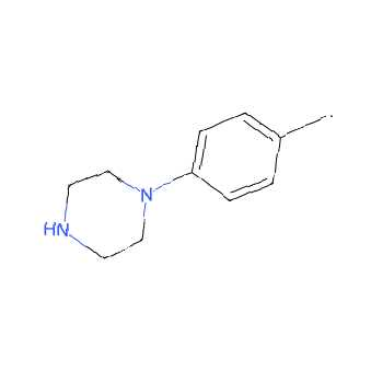 [CH2]c1ccc(N2CCNCC2)cc1